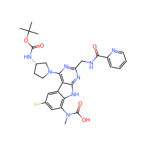 CN(C(=O)O)c1cc(F)cc2c1[nH]c1nc(CNC(=O)c3ccccn3)nc(N3CC[C@H](NC(=O)OC(C)(C)C)C3)c12